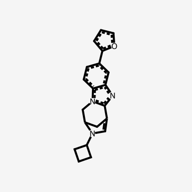 C1=C2CC(Cn3c2nc2cc(-c4ccco4)ccc23)N1C1CCC1